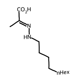 CCCCCCCCCCNN=C(C)C(=O)O